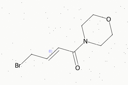 O=C(/C=C/CBr)N1CCOCC1